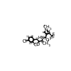 C[C@H](NC(=O)c1cn(C)nc1C(F)F)C(=O)Cc1ccc(Cl)cc1Cl